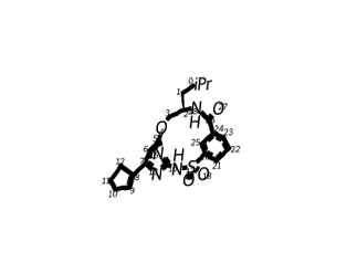 CC(C)C[C@@H]1COc2cc(C3=CCCC3)nc(n2)NS(=O)(=O)c2cccc(c2)C(=O)N1